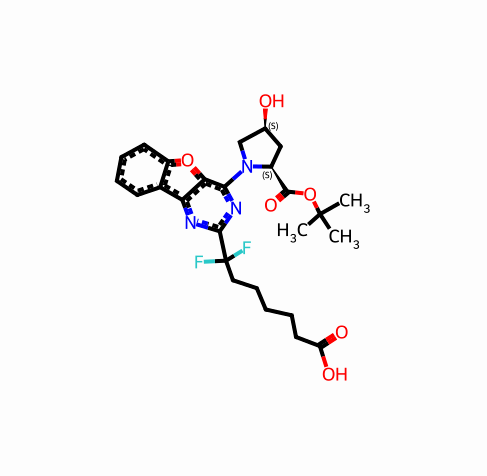 CC(C)(C)OC(=O)[C@@H]1C[C@H](O)CN1c1nc(C(F)(F)CCCCCC(=O)O)nc2c1oc1ccccc12